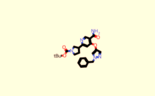 CC(C)(C)OC(=O)N1CCC(c2cc(Oc3cnn(Cc4ccccc4)c3)c(C(N)=O)cn2)C1